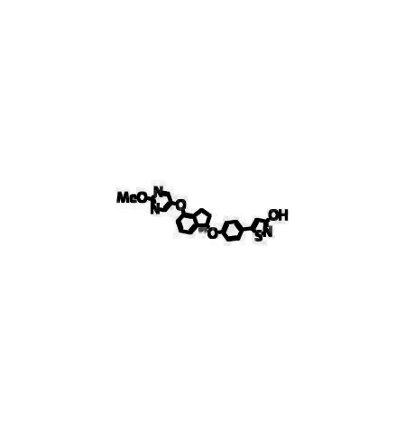 COc1ncc(Oc2cccc3c2CC[C@H]3Oc2ccc(-c3cc(O)ns3)cc2)cn1